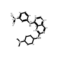 CN(C)C1CCC(Nc2ncc3ncnc(Nc4cccc([N+](=O)[O-])c4)c3n2)CC1